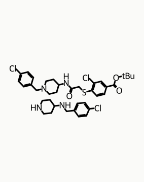 CC(C)(C)OC(=O)c1ccc(SCC(=O)NC2CCN(Cc3ccc(Cl)cc3)CC2)c(Cl)c1.Clc1ccc(CNC2CCNCC2)cc1